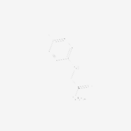 CNC(=O)CNc1ccc(O)cc1